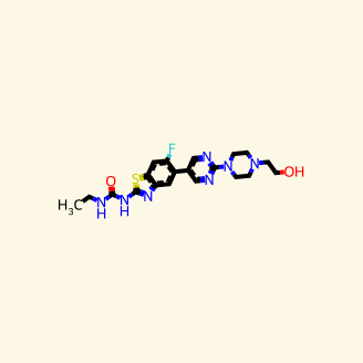 CCNC(=O)Nc1nc2cc(-c3cnc(N4CCN(CCO)CC4)nc3)c(F)cc2s1